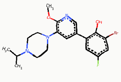 COc1ncc(-c2cc(F)cc(Br)c2O)cc1N1CCN(C(C)C)CC1